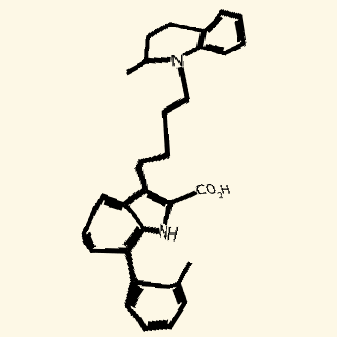 Cc1ccccc1-c1cccc2c(CCCCN3c4ccccc4CCC3C)c(C(=O)O)[nH]c12